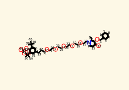 Cc1c(OCc2ccccc2)c(=O)ccn1CCOCCOCCOCCOCCOCCCc1cc(C(C)(C)C)c(OC(=O)O)c(C(C)(C)C)c1